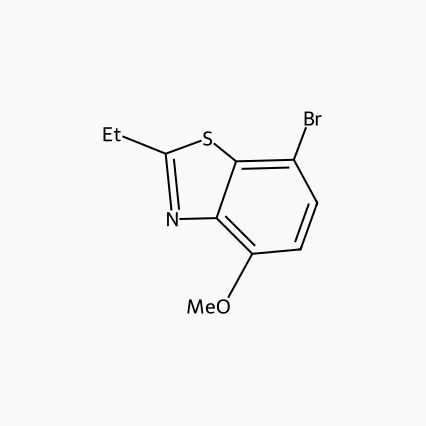 CCc1nc2c(OC)ccc(Br)c2s1